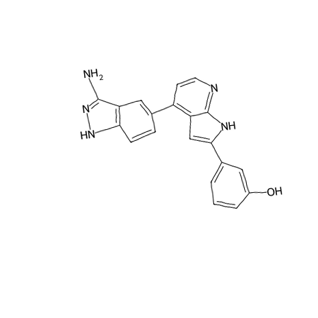 Nc1n[nH]c2ccc(-c3ccnc4[nH]c(-c5cccc(O)c5)cc34)cc12